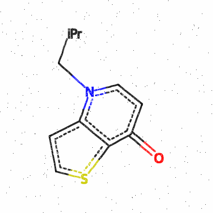 CC(C)Cn1ccc(=O)c2sccc21